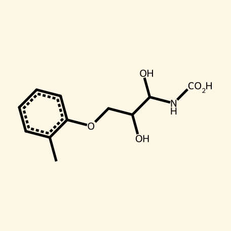 Cc1ccccc1OCC(O)C(O)NC(=O)O